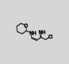 N=C(/C=C\NC1CCCCO1)CCl